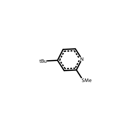 CSc1cc(C(C)(C)C)ccn1